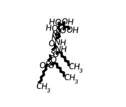 CCCCCCCC(=O)NC(CSCC(COC(=O)CCCCCCC)OC(=O)CCCCCCC)C(=O)Nc1cn([C@@H]2OC(CO)C(O)C(O)C2O)nn1